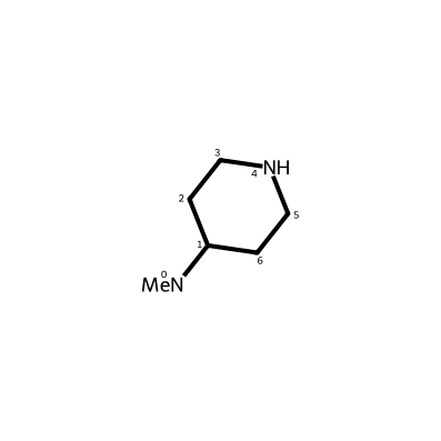 [CH2-][NH2+]C1CCNCC1